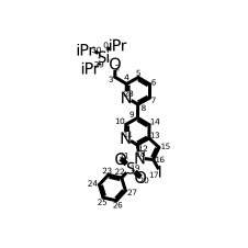 CC(C)[Si](OCc1cccc(-c2cnc3c(c2)cc(I)n3S(=O)(=O)c2ccccc2)n1)(C(C)C)C(C)C